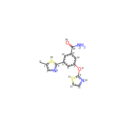 Cc1cnc(-c2cc(Oc3nccs3)cc(C(N)=O)c2)s1